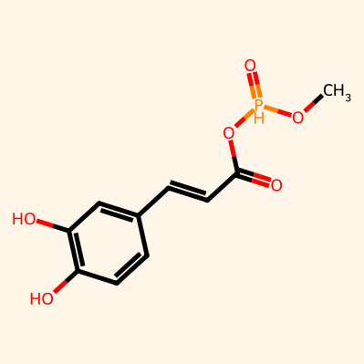 CO[PH](=O)OC(=O)C=Cc1ccc(O)c(O)c1